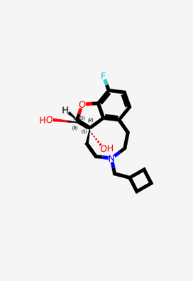 O[C@H]1CC[C@H](O)[C@@]23CCN(CC4CCC4)CCc4ccc(F)c(c42)O[C@@H]13